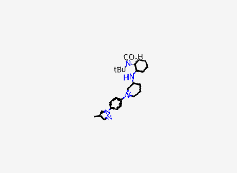 Cc1cnn(-c2ccc(N3CCC[C@H](N[C@@H]4CCCC[C@H]4N(C(=O)O)C(C)(C)C)C3)cc2)c1